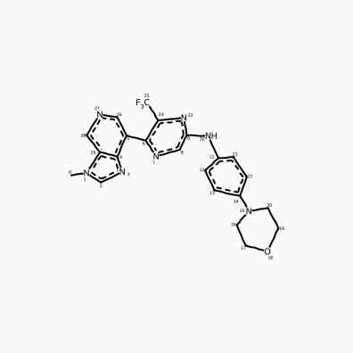 Cn1cnc2c(-c3ncc(Nc4ccc(N5CCOCC5)cc4)nc3C(F)(F)F)cncc21